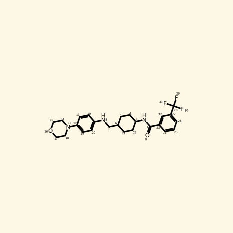 O=C(NC1CCC(CNc2ccc(N3CCOCC3)cc2)CC1)c1cccc(C(F)(F)F)c1